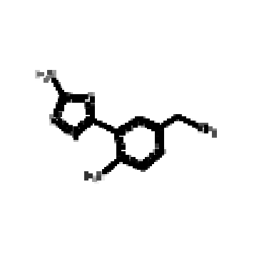 CCc1ccc(C)c(-c2nnc(N)s2)c1